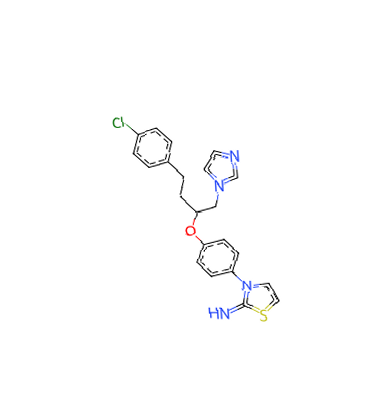 N=c1sccn1-c1ccc(OC(CCc2ccc(Cl)cc2)Cn2ccnc2)cc1